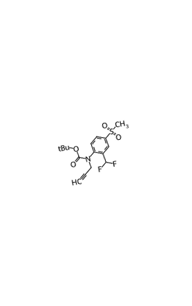 C#CCN(C(=O)OC(C)(C)C)c1ccc(S(C)(=O)=O)cc1C(F)F